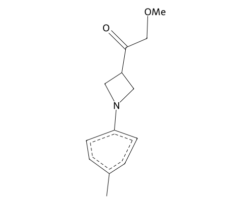 COCC(=O)C1CN(c2ccc(C)cc2)C1